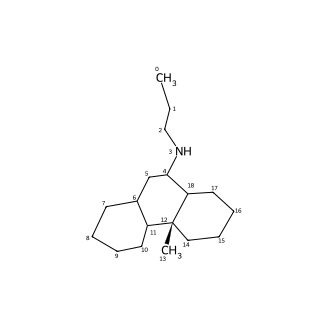 CCCNC1CC2CCCCC2[C@@]2(C)CCCCC12